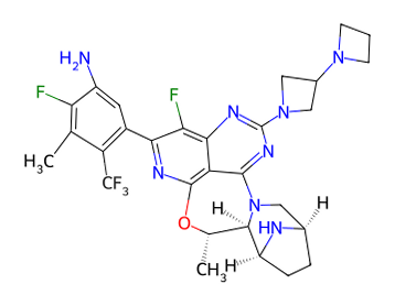 Cc1c(F)c(N)cc(-c2nc3c4c(nc(N5CC(N6CCC6)C5)nc4c2F)N2C[C@H]4CC[C@H](N4)[C@H]2[C@H](C)O3)c1C(F)(F)F